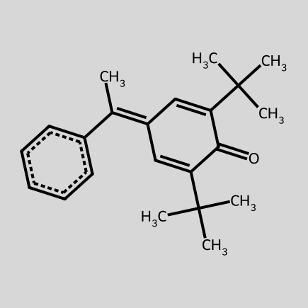 CC(=C1C=C(C(C)(C)C)C(=O)C(C(C)(C)C)=C1)c1ccccc1